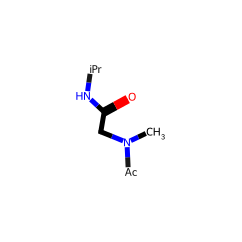 CC(=O)N(C)CC(=O)NC(C)C